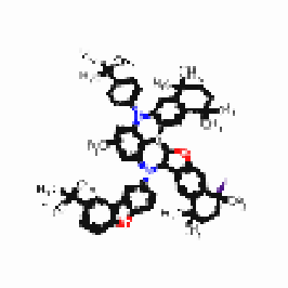 Cc1cc2c3c(c1)N(c1ccc4oc5ccc(C(C)(C)C)cc5c4c1)C1c4cc5c(cc4OC1B3c1cc3c(cc1N2C1=CC=C(C(C)(C)C)CC1)C(C)(C)CCC3(C)C)C(C)(I)CCC5(C)C